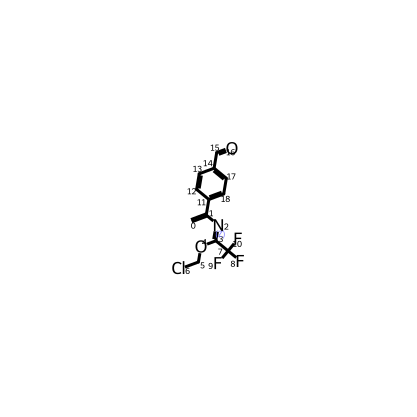 C=C(/N=C(\OCCl)C(F)(F)F)c1ccc(C=O)cc1